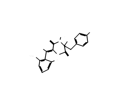 COc1cccc(C#N)c1C(C)=C1NC(=O)C(C)(Cc2ccc(F)cc2)N(C)C1=O